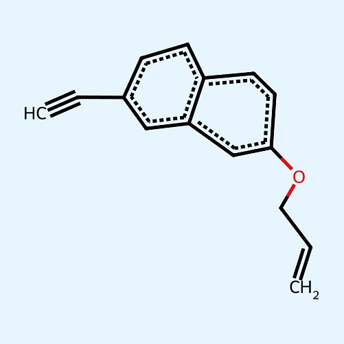 C#Cc1ccc2ccc(OCC=C)cc2c1